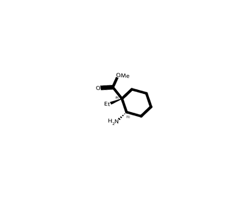 CC[C@@]1(C(=O)OC)CCCC[C@@H]1N